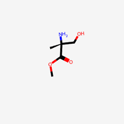 COC(=O)[C@](C)(N)CO